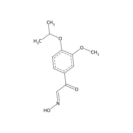 COc1cc(C(=O)C=NO)ccc1OC(C)C